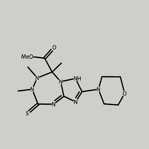 COC(=O)C1(C)N2NC(N3CCOCC3)=NC2=NC(=S)N(C)N1C